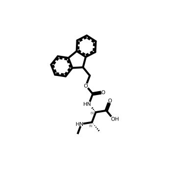 CN[C@@H](C)[C@H](NC(=O)OCC1c2ccccc2-c2ccccc21)C(=O)O